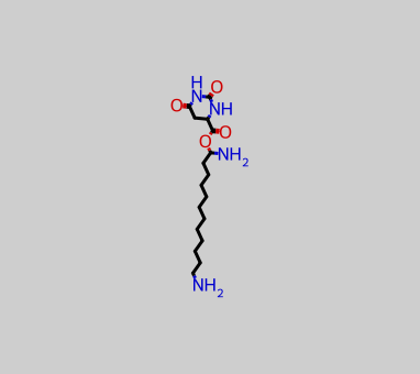 NCCCCCCCCCCCC(N)OC(=O)C1CC(=O)NC(=O)N1